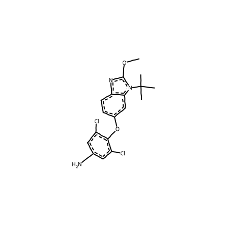 COc1nc2ccc(Oc3c(Cl)cc(N)cc3Cl)cc2n1C(C)(C)C